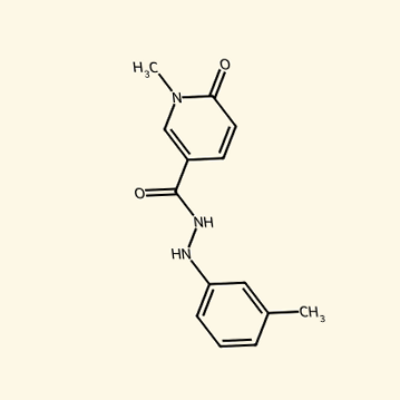 Cc1cccc(NNC(=O)c2ccc(=O)n(C)c2)c1